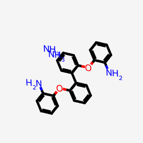 N.N.Nc1ccccc1Oc1ccccc1-c1ccccc1Oc1ccccc1N